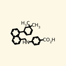 CC1(C)C=CC=C(c2cccc3cccc(CNc4ccc(C(=O)O)cc4)c23)C1